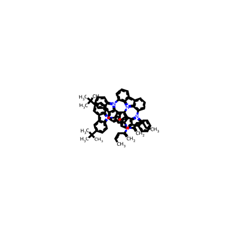 C=C(/C=C\C)N(C(=C)/C=C\CC)c1cc(-n2c3ccc(C(C)(C)C)cc3c3cc(C(C)(C)C)ccc32)cc(-n2c3c(-n4c5ccccc5c5ccccc54)cccc3c3cccc(-n4c5ccccc5c5ccccc54)c32)c1